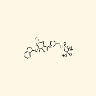 O=P(O)(O)CP(=O)(O)OCC1CC[C@H](c2ccc3c(NC4CCc5ccccc54)nc(Cl)nn23)C1